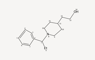 CCC(c1ccccc1)N1CCC(CCO)CC1